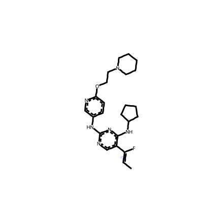 C/C=C(\F)c1cnc(Nc2ccc(OCCN3CCCCC3)nc2)nc1NC1CCCC1